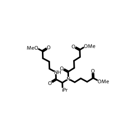 COC(=O)CCCNC(=O)C(C(C)C)N(CCCC(=O)OC)C(=O)CCCC(=O)OC